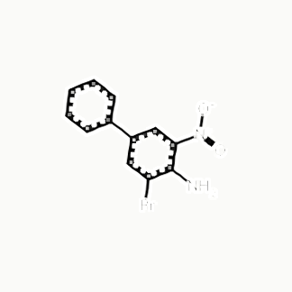 Nc1c(Br)cc(-c2ccccc2)cc1[N+](=O)[O-]